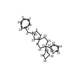 c1ccc(CN2CCC3(CCC(c4cccs4)(N4CCC4)CC3)C2)cc1